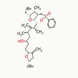 C=C1C[C@H](CCCC)OC1CC[C@@H](O)C[C@@H](C)C(=C)[C@H](C)C[C@@H]1O[C@H](C[C@H](C)CC)[C@H](C)[C@H]1CS(=O)(=O)c1ccccc1